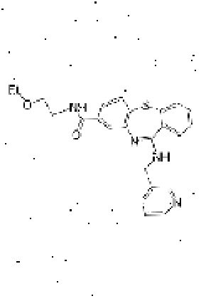 CCOCCNC(=O)c1ccc2c(c1)N=C(NCc1cccnc1)c1ccccc1S2